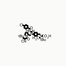 CC(N(Cc1ccc2c(c1)nc(NC(=O)c1ccc(Cl)cc1)n2CC1CCCN1C(=O)C(C#N)=CC(C)(C)C)C(=O)O)C(C)(C)C